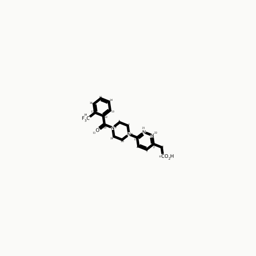 O=C(O)Cc1ccc(N2CCN(C(=O)c3ccccc3C(F)(F)F)CC2)nn1